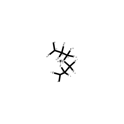 CC(F)C(F)(F)[C](F)(F)[Sn](=[O])[C](F)(F)C(F)(F)C(C)F